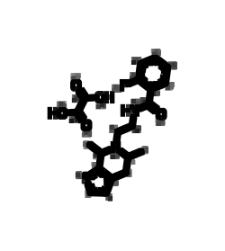 CC1Cc2ccsc2C(C)N1CCNC(=O)c1ccccc1F.O=C(O)C(=O)O